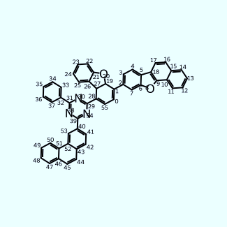 C1=C(c2ccc3c(c2)oc2c4ccccc4ccc32)C2Oc3ccccc3C2C(c2nc(-c3ccccc3)nc(-c3ccc4ccc5ccccc5c4c3)n2)=C1